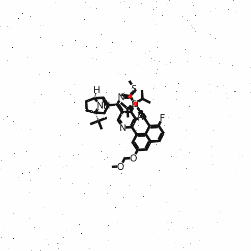 COCOc1cc(-c2ncc3c(C4=C[C@@H]5CC[C@](C(C)(C)C)(C4)N5)nc(SC)nc3c2F)c2c(C#C[Si](C(C)C)(C(C)C)C(C)C)c(F)ccc2c1